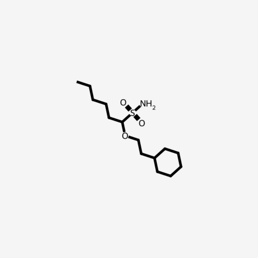 CCCCCC(OCCC1CCCCC1)S(N)(=O)=O